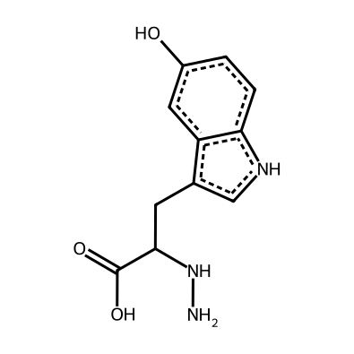 NNC(Cc1c[nH]c2ccc(O)cc12)C(=O)O